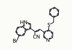 N#C/C(=C\c1cnccc1SCc1ccccc1)c1c[nH]c2ccc(Br)cc12